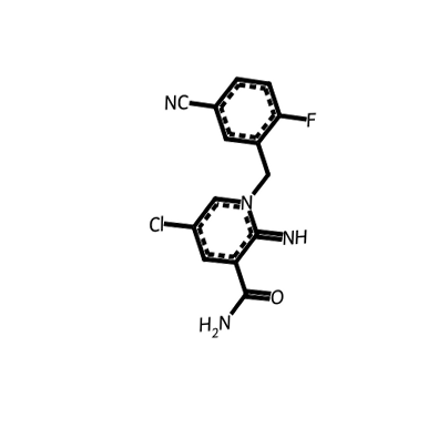 N#Cc1ccc(F)c(Cn2cc(Cl)cc(C(N)=O)c2=N)c1